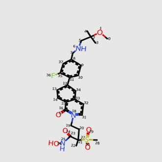 COC(C)(C)CNCc1ccc(-c2ccc3c(=O)n(CCC(C)(C(=O)NO)S(C)(=O)=O)ccc3c2)c(F)c1